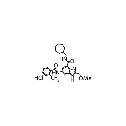 COCc1nc2c(C(=O)NCC3CCCCCC3)cc(NC(=O)c3ccccc3C(F)(F)F)cc2[nH]1.Cl